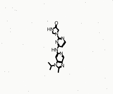 Cc1nc2cnc(Nc3ccnc(N4CNC(=O)C4)n3)cc2n1C(C)C